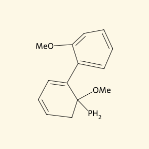 COc1ccccc1C1=CC=CCC1(P)OC